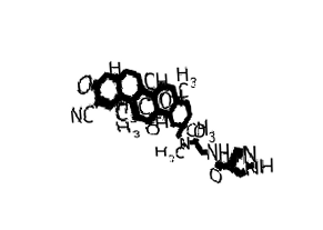 CN(C[C@@]1(C)CC[C@]2(C)CC[C@@]3(C)[C@]4(C)CC[C@H]5CC(=O)C(C#N)=C[C@]5(C)C4=CC(=O)[C@]3(O)[C@@H]2C1)C(=O)CNC(=O)c1cn[nH]c1